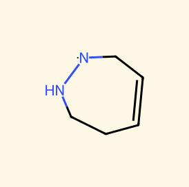 C1=CC[N]NCC1